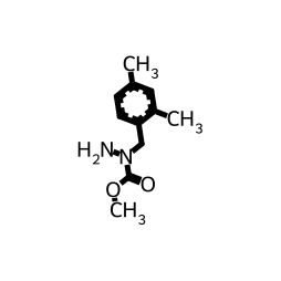 COC(=O)N(N)Cc1ccc(C)cc1C